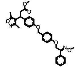 CON=C(COc1ccc(COc2ccc(C(CC(=O)OC)c3c(C)noc3C)cc2)cc1)c1ccccc1